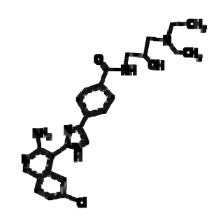 CCN(CC)CC(O)CNC(=O)c1ccc(-c2c[nH]c(-c3c(N)ncc4ccc(Cl)cc34)n2)cc1